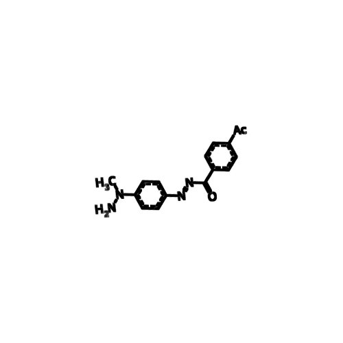 CC(=O)c1ccc(C(=O)N=Nc2ccc(N(C)N)cc2)cc1